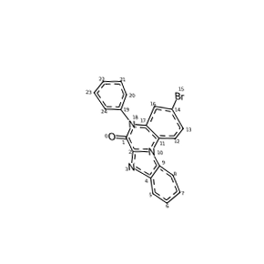 O=c1c2nc3ccccc3n2c2ccc(Br)cc2n1-c1ccccc1